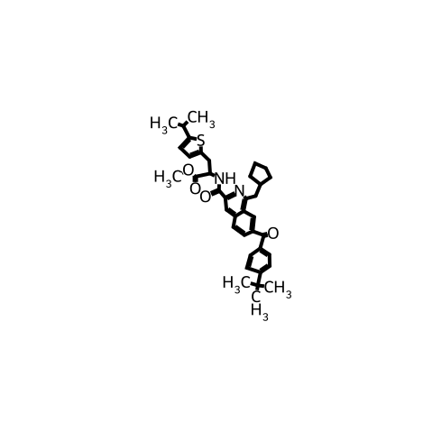 COC(=O)C(Cc1ccc(C(C)C)s1)NC(=O)c1cc2ccc(C(=O)c3ccc(C(C)(C)C)cc3)cc2c(CC2CCCC2)n1